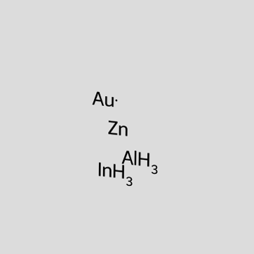 [AlH3].[Au].[InH3].[Zn]